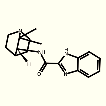 CC1(C)[C@H](NC(=O)c2nc3ccccc3[nH]2)C2CCN1CC2